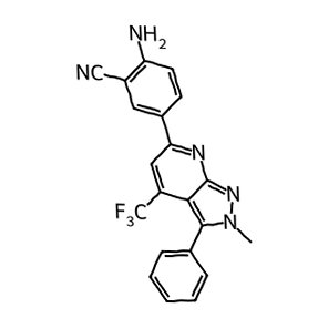 Cn1nc2nc(-c3ccc(N)c(C#N)c3)cc(C(F)(F)F)c2c1-c1ccccc1